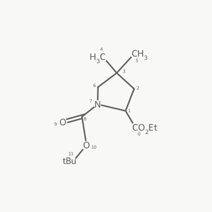 CCOC(=O)C1CC(C)(C)CN1C(=O)OC(C)(C)C